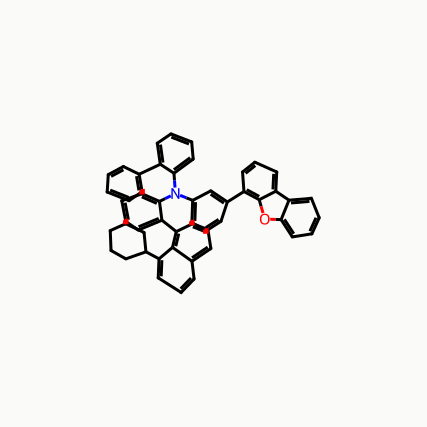 c1ccc(-c2ccccc2N(c2cccc(-c3cccc4c3oc3ccccc34)c2)c2ccccc2-c2cccc3cccc(C4CCCCC4)c23)cc1